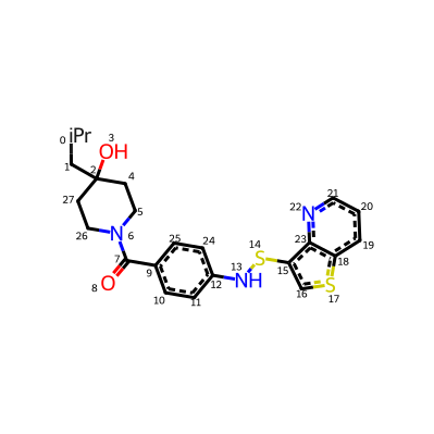 CC(C)CC1(O)CCN(C(=O)c2ccc(NSc3csc4cccnc34)cc2)CC1